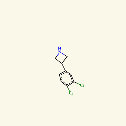 Clc1ccc(C2CNC2)cc1Cl